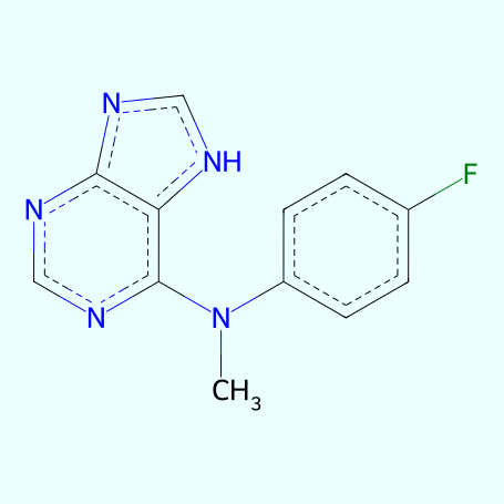 CN(c1ccc(F)cc1)c1ncnc2nc[nH]c12